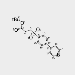 CC(C)(C)OC(=O)CCS(=O)(=O)c1ccc(-c2ccncc2)cc1